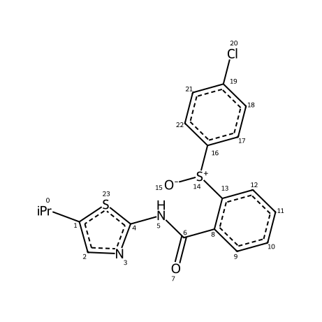 CC(C)c1cnc(NC(=O)c2ccccc2[S+]([O-])c2ccc(Cl)cc2)s1